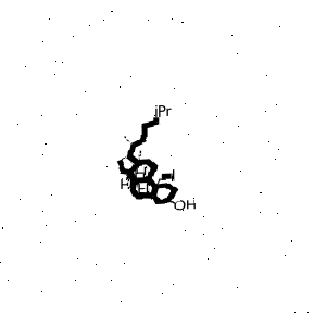 CC(C)CCC[C@@H](C)[C@H]1CC[C@H]2[C@@H]3CC=C4C[C@@H](O)CC[C@]4(CI)[C@H]3CC[C@]12C